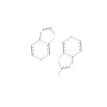 S.S.Sc1nc2ccccc2s1.c1ccc2scnc2c1